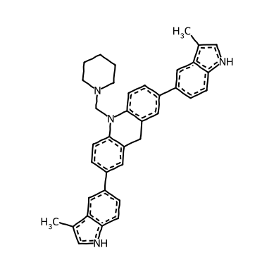 Cc1c[nH]c2ccc(-c3ccc4c(c3)Cc3cc(-c5ccc6[nH]cc(C)c6c5)ccc3N4CN3CCCCC3)cc12